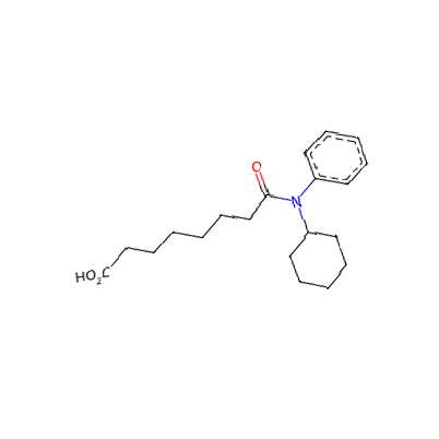 O=C(O)CCCCCCC(=O)N(c1ccccc1)C1CCCCC1